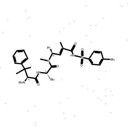 CN[C@H](C(=O)N[C@H](C(=O)N(C)[C@H](C=C(C)C(=O)NS(=O)(=O)c1ccc(C(C)(C)C)cc1)C(C)C)C(C)(C)C)C(C)(C)c1ccccc1